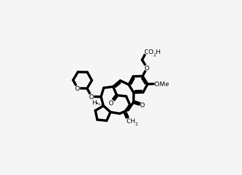 C=CCCC(=O)/C1=C\c2cc(OCC(=O)O)c(OC)cc2C(=O)CCC2CCC[C@H]2C(OC2CCCCO2)C1